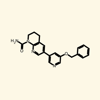 NC(=O)N1CCCc2cc(-c3cncc(OCc4ccccc4)c3)cnc21